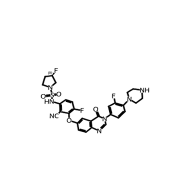 N#Cc1c(NS(=O)(=O)N2CC[C@@H](F)C2)ccc(F)c1Oc1ccc2ncn(-c3ccc(N4CCNCC4)c(F)c3)c(=O)c2c1